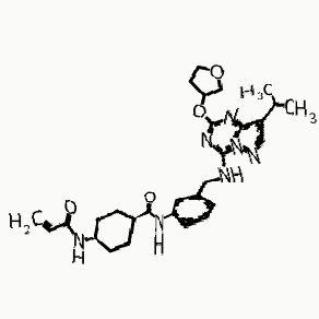 C=CC(=O)N[C@H]1CC[C@@H](C(=O)Nc2cccc(CNc3nc(OC4CCOC4)nc4c(C(C)C)cnn34)c2)CC1